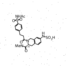 CNC(=O)[C@@H]1Cc2ccc(NS(=O)(=O)O)cc2CN1C(=O)CCc1ccc(S(=O)(=O)NC(C)=O)cc1